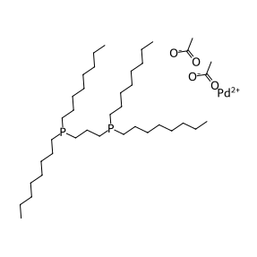 CC(=O)[O-].CC(=O)[O-].CCCCCCCCP(CCCCCCCC)CCCP(CCCCCCCC)CCCCCCCC.[Pd+2]